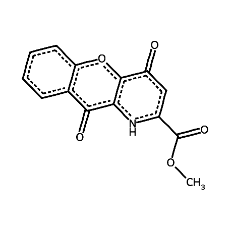 COC(=O)c1cc(=O)c2oc3ccccc3c(=O)c2[nH]1